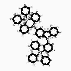 c1ccc([Si](c2ccccc2)(c2ccccc2)c2cccc(-n3c4ccccc4c4cc(N5c6ccccc6[Si](c6ccccc6)(c6ccccc6)c6ccccc65)ccc43)c2)cc1